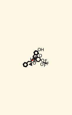 O=C(OC1CC[C@@]2(OCCCc3ccccc3)[C@H]3Cc4ccc(O)c5c4[C@@]2(CC[N+]3([O-])CC2CC2)C1O5)C(F)(F)F